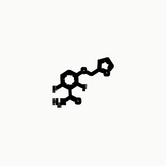 NC(=O)c1c(F)ccc(OCc2ccco2)c1F